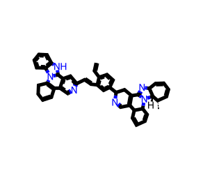 C=Cc1ccc(C2CC3=C(C=N2)C2C=CC=CC2N2C3=NC3C=CC=C[C@H](C)[C@@H]32)cc1/C=C/c1cc2c(cn1)C1=C(CCC=C1)N1c3ccccc3NC21